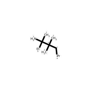 CCC(C)(N)C(C)(C)CC(C)C